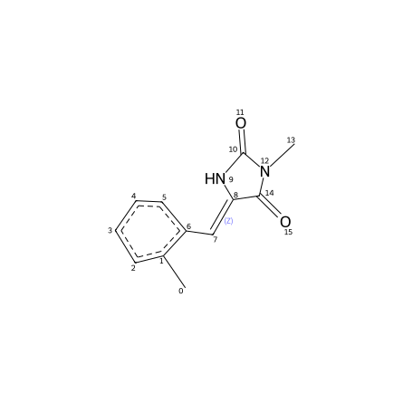 Cc1ccccc1/C=C1\NC(=O)N(C)C1=O